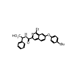 CCc1nc(C(=O)NC(C(=O)O)c2ccccc2)cc2ccc(Oc3ccc(C(C)(C)C)cc3)cc12